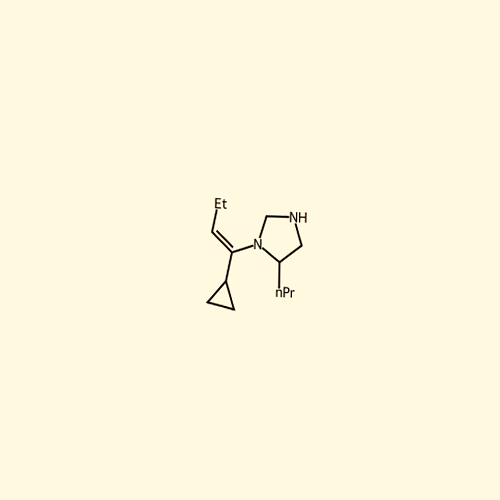 CC/C=C(/C1CC1)N1CNCC1CCC